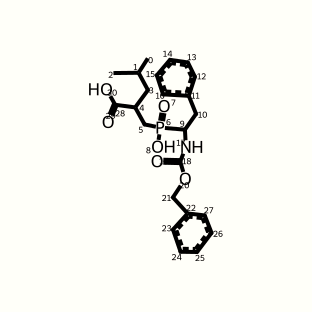 CC(C)CC(CP(=O)(O)C(Cc1ccccc1)NC(=O)OCc1ccccc1)C(=O)O